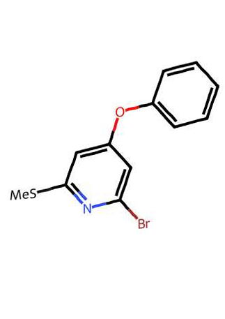 CSc1cc(Oc2ccccc2)cc(Br)n1